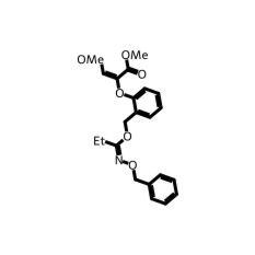 CCC(=NOCc1ccccc1)OCc1ccccc1OC(=COC)C(=O)OC